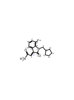 NC(=O)/C=C1/C(=O)N(CC2CCCC2)c2c(F)cccc21